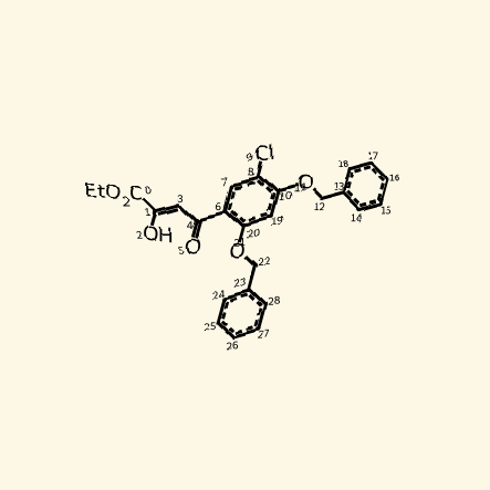 CCOC(=O)C(O)=CC(=O)c1cc(Cl)c(OCc2ccccc2)cc1OCc1ccccc1